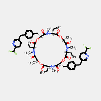 CC(C)C[C@H]1C(=O)O[C@H](Cc2ccc(Cc3ccc(C(F)F)nc3)cc2)C(=O)N(C)[C@@H](CC(C)C)C(=O)O[C@H](C)C(=O)N(C)[C@@H](CC(C)C)C(=O)O[C@H](Cc2ccc(Cc3ccc(C(F)F)nc3)cc2)C(=O)N(C)[C@@H](CC(C)C)C(=O)O[C@H](C)C(=O)N1C